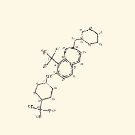 FC(F)(F)c1c(OC2CCC(C(F)(F)F)CC2)ccc2ccc(CN3CCCCC3)cc12